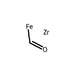 O=[CH][Fe].[Zr]